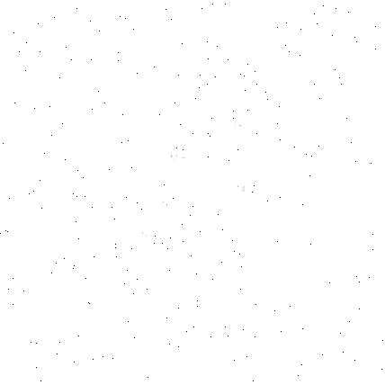 COc1cc(Br)cc2[nH]cc(-c3oc(-c4ccc[nH]4)nc3I)c12